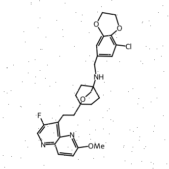 COc1ccc2ncc(F)c(CCC34CCC(NCc5cc(Cl)c6c(c5)OCCO6)(CC3)CO4)c2n1